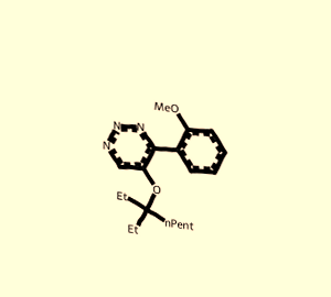 CCCCCC(CC)(CC)Oc1cnnnc1-c1ccccc1OC